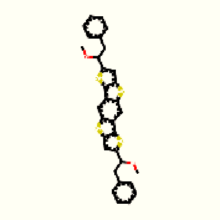 COC(Cc1ccccc1)c1cc2sc3cc4c(cc3c2s1)sc1cc(C(Cc2ccccc2)OC)sc14